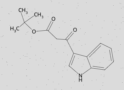 CC(C)(C)OC(=O)CC(=O)c1c[nH]c2ccccc12